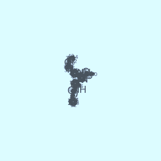 CCOC(=O)c1ncc(-c2cccc(NC(=O)OCc3ccccc3)c2C)c2c1[nH]c1cc(N3CCC(O[Si](C)(C)C(C)(C)C)C3)ccc12